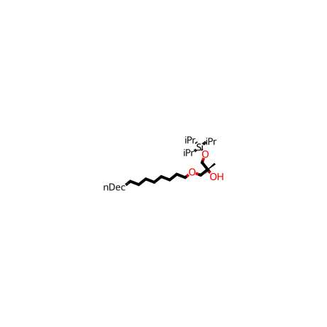 CCCCCCCCCCCCCCCCCCOC[C@@](C)(O)CO[Si](C(C)C)(C(C)C)C(C)C